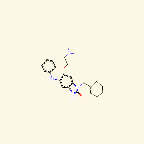 CN(C)CCOc1cc2c(cc1Nc1ccccc1)[nH]c(=O)n2CC1CCCCC1